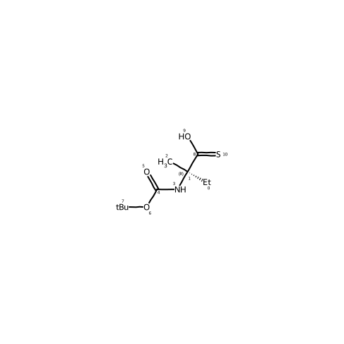 CC[C@@](C)(NC(=O)OC(C)(C)C)C(O)=S